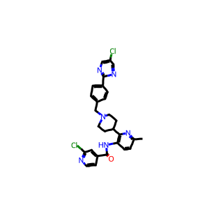 Cc1ccc(NC(=O)c2ccnc(Cl)c2)c(C2CCN(Cc3ccc(-c4ncc(Cl)cn4)cc3)CC2)n1